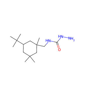 CC1(C)CC(C(C)(C)C)CC(C)(CNC(=O)NN)C1